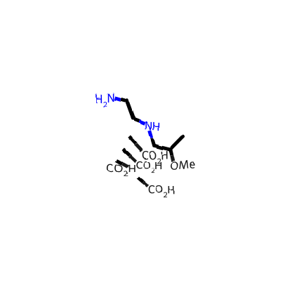 CC(=O)O.CC(=O)O.CC(=O)O.CC(=O)O.COC(C)CNCCN